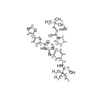 CC(C)(C)C=C(C#N)C(=O)N1CCC[C@@H]1Cn1c(NC(=O)c2ccc(-c3cnco3)s2)nc2cc(CN[C@H](CO)C(C)(C)C)ccc21